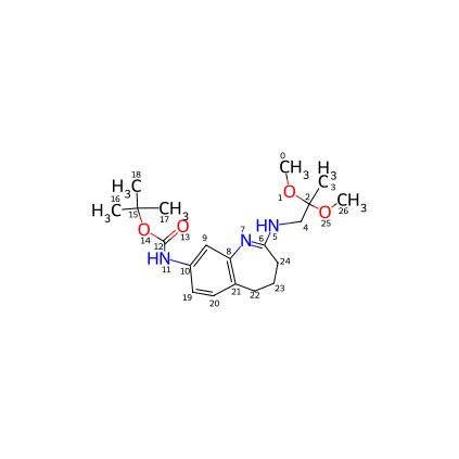 COC(C)(CNC1=Nc2cc(NC(=O)OC(C)(C)C)ccc2CCC1)OC